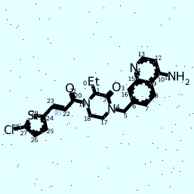 CCC1C(=O)N(Cc2ccc3c(N)ccnc3c2)CCN1C(=O)/C=C/c1ccc(Cl)s1